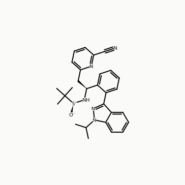 CC(C)n1nc(-c2ccccc2[C@H](Cc2cccc(C#N)n2)N[S@@+]([O-])C(C)(C)C)c2ccccc21